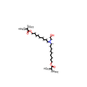 CCCCCCCCC(CCCCC)C(=O)OCCCCCCCCCN(CCO)CCCCCCCCCOC(=O)C(CCCCCC)CCCCCCCC